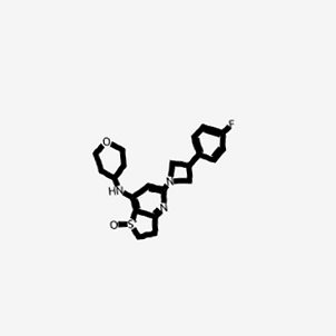 [O-][S+]1CCc2nc(N3CC(c4ccc(F)cc4)C3)cc(NC3CCOCC3)c21